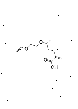 C=COCCOC(C)CCC(=C)C(=O)O